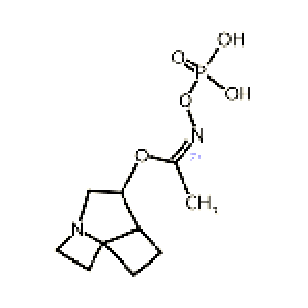 C/C(=N/OP(=O)(O)O)OC1CN2CCC23CCC13